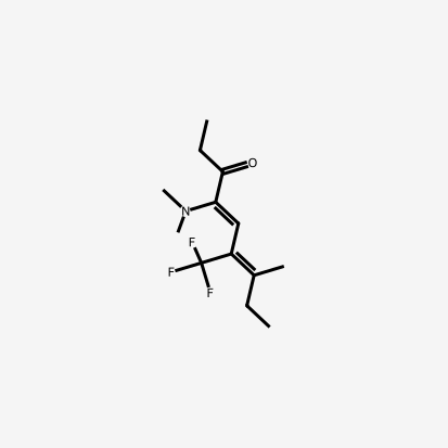 CCC(=O)/C(=C/C(=C(\C)CC)C(F)(F)F)N(C)C